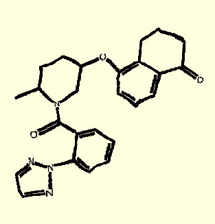 CC1CCC(Oc2cccc3c2CCCC3=O)CN1C(=O)c1ccccc1-n1nccn1